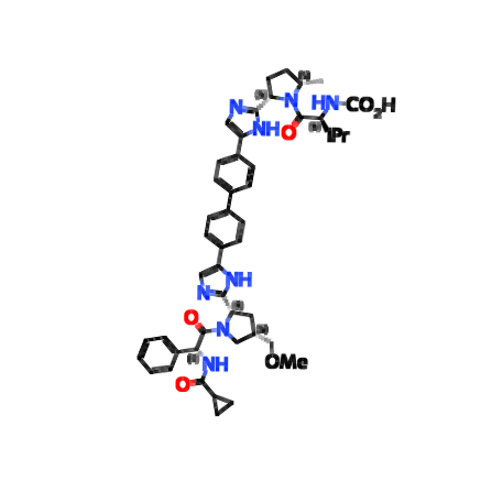 COC[C@H]1C[C@@H](c2ncc(-c3ccc(-c4ccc(-c5cnc([C@@H]6CC[C@H](C)N6C(=O)[C@@H](NC(=O)O)C(C)C)[nH]5)cc4)cc3)[nH]2)N(C(=O)[C@H](NC(=O)C2CC2)c2ccccc2)C1